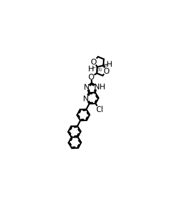 Clc1cc2[nH]c(OC3CO[C@@H]4CCO[C@H]34)nc2nc1-c1ccc(-c2ccc3ccccc3c2)cc1